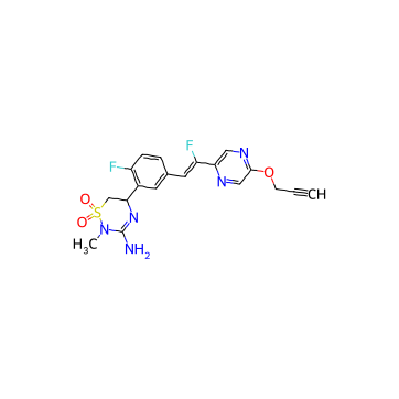 C#CCOc1cnc(/C(F)=C/c2ccc(F)c(C3CS(=O)(=O)N(C)C(N)=N3)c2)cn1